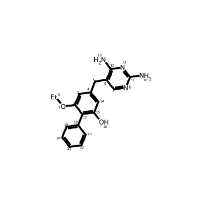 CCOc1cc(Cc2cnc(N)nc2N)cc(O)c1-c1c[c]ccc1